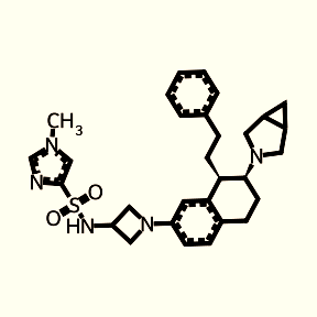 Cn1cnc(S(=O)(=O)NC2CN(c3ccc4c(c3)[C@@H](CCc3ccccc3)[C@@H](N3CC5CC5C3)CC4)C2)c1